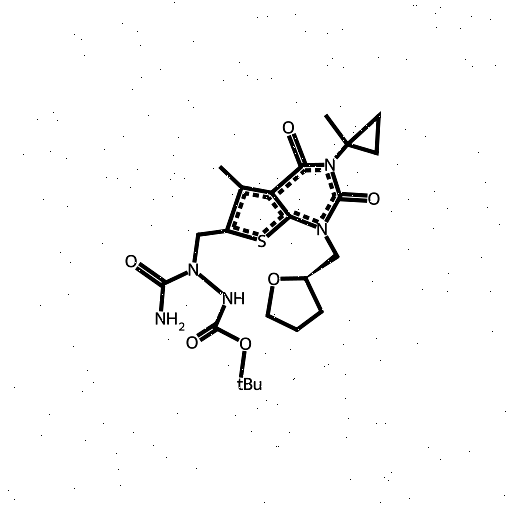 Cc1c(CN(NC(=O)OC(C)(C)C)C(N)=O)sc2c1c(=O)n(C1(C)CC1)c(=O)n2C[C@H]1CCCO1